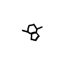 CC1CCC(C)C2=C1C=CC2